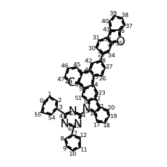 c1ccc(-c2nc(-c3ccccc3)nc(-n3c4ccccc4c4cc5c6ccc(-c7ccc8c(c7)oc7ccccc78)cc6c6ccccc6c5cc43)n2)cc1